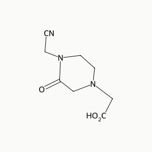 N#CCN1CCN(CC(=O)O)CC1=O